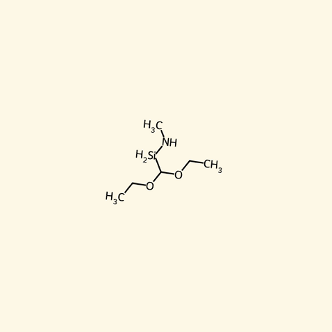 CCOC(OCC)[SiH2]NC